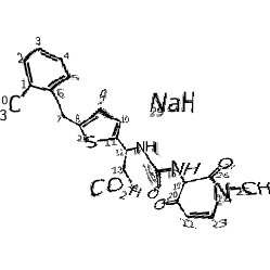 Cc1ccccc1Cc1ccc([C@H](CC(=O)O)NC(=O)NC2C(=O)C=CN(C)C2=O)s1.[NaH]